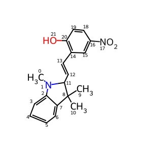 CN1c2ccccc2C(C)(C)C1/C=C/c1cc([N+](=O)[O-])ccc1O